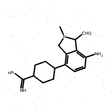 CCCC(=N)C1CCC(c2ccc(N)c3c2CN(C)C3C=O)CC1